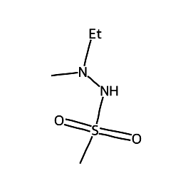 CCN(C)NS(C)(=O)=O